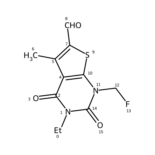 CCn1c(=O)c2c(C)c(C=O)sc2n(CF)c1=O